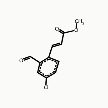 COC(=O)C=Cc1ccc(Cl)cc1C=O